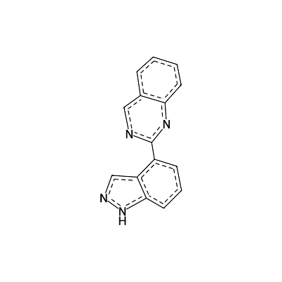 c1ccc2nc(-c3cccc4[nH]ncc34)ncc2c1